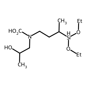 CCO[SiH](OCC)C(C)CCN(CC(C)O)C(=O)O